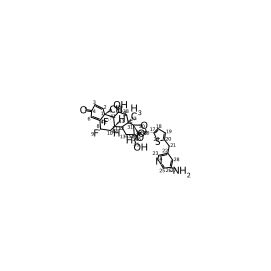 C[C@]12C=CC(=O)C=C1[C@@H](F)C[C@H]1[C@@H]3C[C@H]4O[C@@H](c5ccc(Cc6cncc(N)c6)s5)O[C@@]4(C(=O)CO)[C@@]3(C)C[C@H](O)[C@@]12F